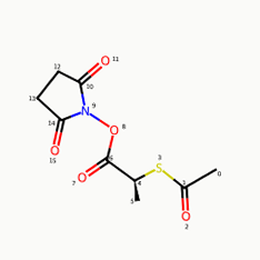 CC(=O)S[C@@H](C)C(=O)ON1C(=O)CCC1=O